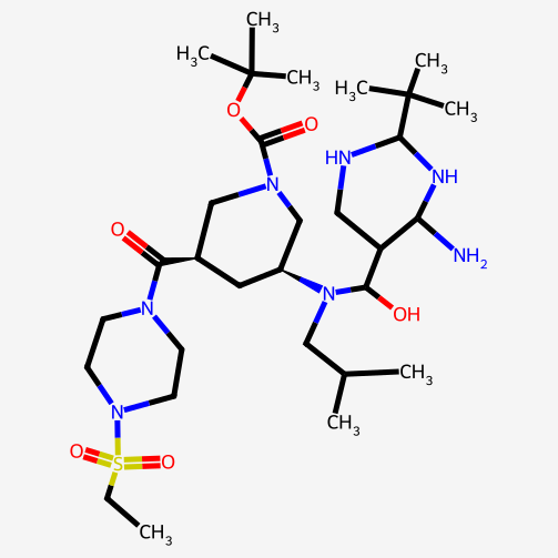 CCS(=O)(=O)N1CCN(C(=O)[C@@H]2C[C@H](N(CC(C)C)C(O)C3CNC(C(C)(C)C)NC3N)CN(C(=O)OC(C)(C)C)C2)CC1